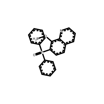 BOc1c(P(=O)(c2ccccc2)c2ccccc2)ccc2cccnc12